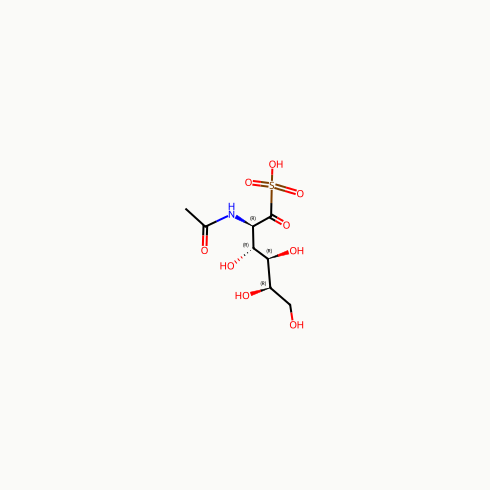 CC(=O)N[C@@H](C(=O)S(=O)(=O)O)[C@@H](O)[C@@H](O)[C@H](O)CO